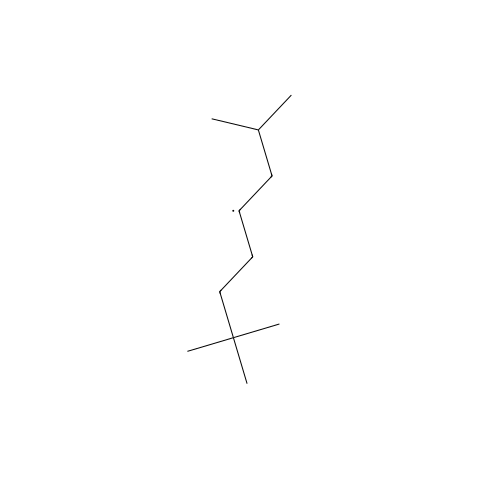 CC(C)C[CH]CCC(C)(C)C